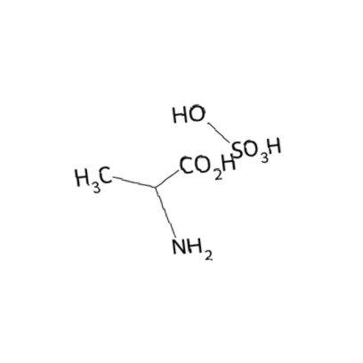 CC(N)C(=O)O.O=S(=O)(O)O